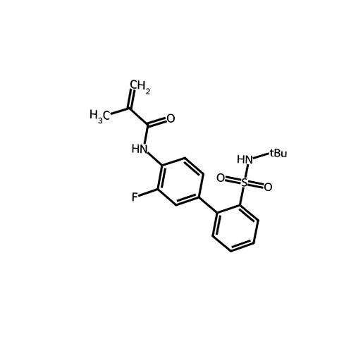 C=C(C)C(=O)Nc1ccc(-c2ccccc2S(=O)(=O)NC(C)(C)C)cc1F